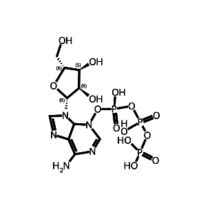 NC1=C2N=CN([C@@H]3O[C@H](CO)[C@@H](O)[C@H]3O)C2N(OP(=O)(O)OP(=O)(O)OP(=O)(O)O)C=N1